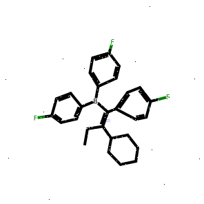 CC/C(=C(\B(c1ccc(F)cc1)c1ccc(F)cc1)c1ccc(F)cc1)C1CCCCC1